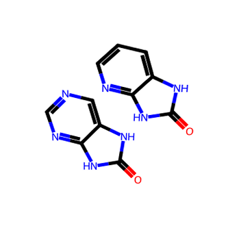 O=c1[nH]c2cccnc2[nH]1.O=c1[nH]c2cncnc2[nH]1